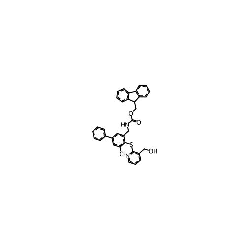 O=C(NCc1cc(-c2ccccc2)cc(Cl)c1Sc1ncccc1CO)OCC1c2ccccc2-c2ccccc21